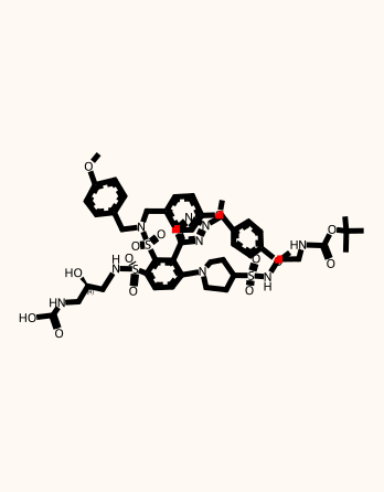 COc1ccc(CN(Cc2ccc(OC)cc2)S(=O)(=O)c2c(S(=O)(=O)NC[C@H](O)CNC(=O)O)ccc(N3CCC(S(=O)(=O)NCCNC(=O)OC(C)(C)C)CC3)c2-c2nnn(Cc3ccc(OC)cc3)n2)cc1